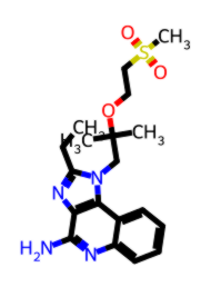 CCc1nc2c(N)nc3ccccc3c2n1CC(C)(C)OCCS(C)(=O)=O